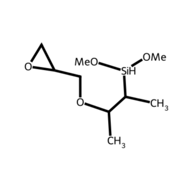 CO[SiH](OC)C(C)C(C)OCC1CO1